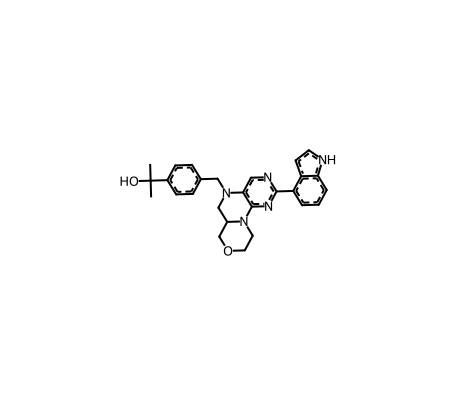 CC(C)(O)c1ccc(CN2CC3COCCN3c3nc(-c4cccc5[nH]ccc45)ncc32)cc1